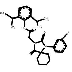 CC(C)c1cccc(C(C)C)c1NC(=O)CN1C(=O)N(c2cccc(F)c2)C2(CCCCC2)C1=O